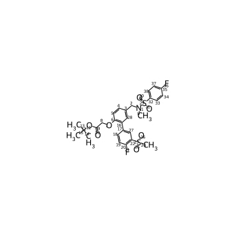 CN(Cc1ccc(OCC(=O)OC(C)(C)C)c(-c2ccc(F)c(S(C)(=O)=O)c2)c1)S(=O)(=O)c1ccc(F)cc1